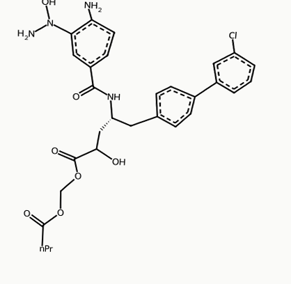 CCCC(=O)OCOC(=O)C(O)C[C@@H](Cc1ccc(-c2cccc(Cl)c2)cc1)NC(=O)c1ccc(N)c(N(N)O)c1